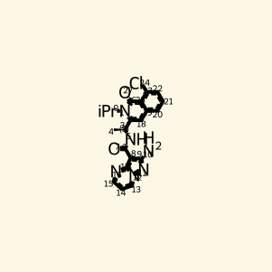 CC(C)n1c([C@H](C)NC(=O)c2c(N)nn3cccnc23)cc2cccc(Cl)c2c1=O